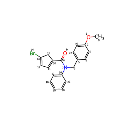 COc1ccc(CN(C(=O)C2=CC=C(Br)C2)c2ccccc2)cc1